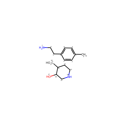 Cc1ccc(CCN)cc1.O=C(O)C1CCNCC1O